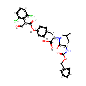 CC(C)C[C@H](NC(=O)OCc1ccccc1)C(=O)N[C@@H](Cc1ccc(OC(=O)C(C=O)c2c(Cl)cccc2Cl)cc1)C(=O)O